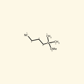 CO[Si](C)(C)CCCC#N